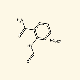 Cl.Cl.NC(=O)c1ccccc1NC=O